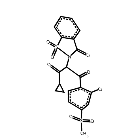 CS(=O)(=O)c1ccc(C(=O)C(C(=O)C2CC2)N2C(=O)c3ccccc3S2(=O)=O)c(Cl)c1